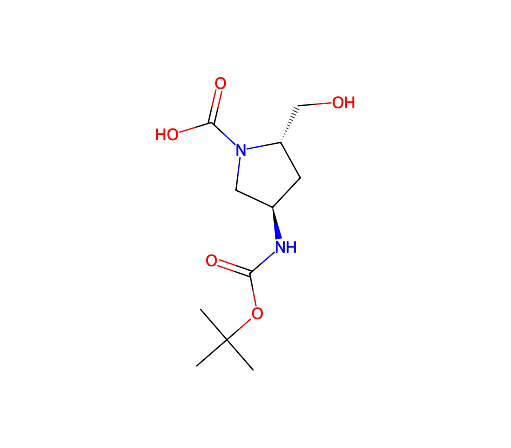 CC(C)(C)OC(=O)N[C@@H]1C[C@@H](CO)N(C(=O)O)C1